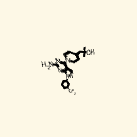 CC(C)(O)CC1CCN(c2nc(N)nc3c2cnn3-c2cccc(C(F)(F)F)c2)CC1